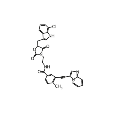 Cc1ccc(C(=O)NCCN2C(=O)OC(Cc3c[nH]c4c(Cl)cccc34)C2=O)cc1C#Cc1cnc2ccccn12